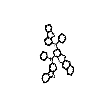 c1ccc(N(c2ccc3oc4ccccc4c3c2)c2cc(N(c3ccccc3)c3cccc4c3sc3ccccc34)cc3c2Sc2cc4ccccc4cc2S3)cc1